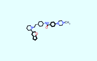 CN1CCN(c2ccc(C(=O)N[C@H]3CC[C@H](CCN4CCCCC4c4coc5cccc-5c4)CC3)cc2)CC1